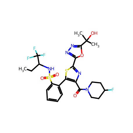 CCC(NS(=O)(=O)c1ccccc1-c1sc(-c2nnc(C(C)(C)O)o2)nc1C(=O)N1CCC(F)CC1)C(F)(F)F